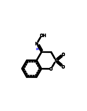 O=S1(=O)C/C(=N\O)c2ccccc2O1